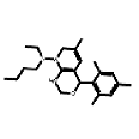 CCCCN(CC)N1CC(C)=CC2=C1NCOC2c1c(C)cc(C)cc1C